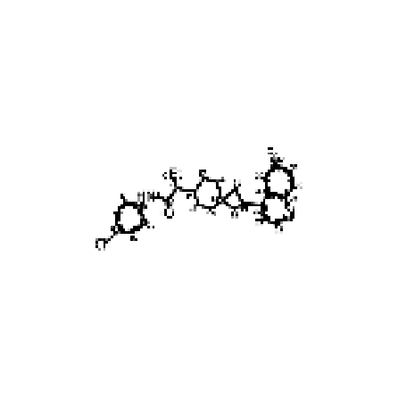 CCC(C(=O)Nc1ccc(Cl)cc1)C1CCC2(CC1)CC(c1ccnc3ccc(F)cc13)C2